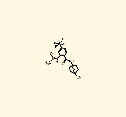 C[S+]([O-])Nc1cc(S(F)(F)(F)(F)F)ccc1C(=O)NC12CCC(C#N)(CC1)CC2